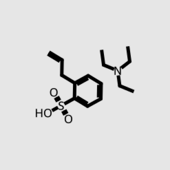 C=CCc1ccccc1S(=O)(=O)O.CCN(CC)CC